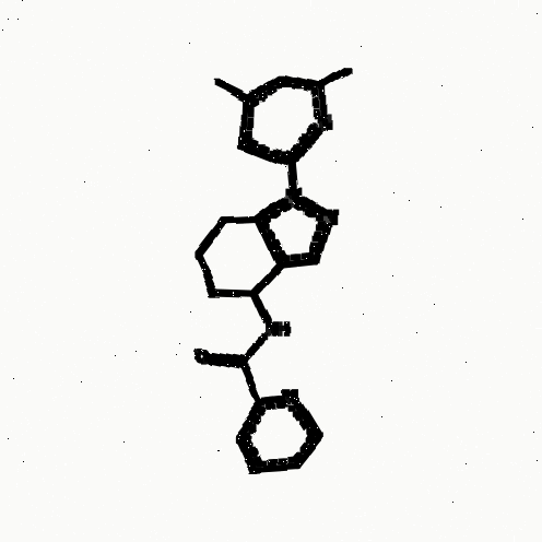 Cc1cc(C)nc(-n2ncc3c2CCCC3NC(=O)c2ccccn2)c1